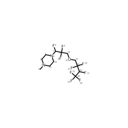 CN1CCN(C(F)C(F)(F)COCC(F)(F)C(F)C(F)(F)F)CC1